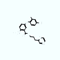 O=C(OCCCc1cnccn1)c1cc(Oc2ccc(C(F)(F)F)cc2Cl)ccc1[N+](=O)[O-]